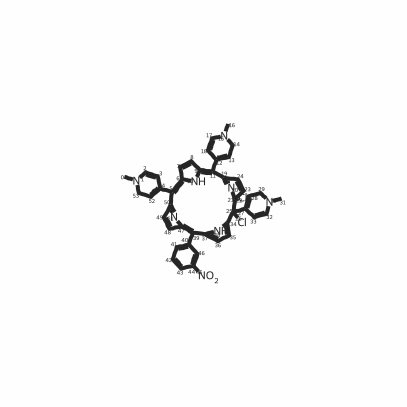 CN1C=CC(C2=c3ccc([nH]3)=C(C3=CCN(C)C=C3)C3=NC(Cl)(C=C3)C(Cl)(C3=CCN(C)C=C3)c3ccc([nH]3)C(c3cccc([N+](=O)[O-])c3)=C3C=CC2=N3)=CC1